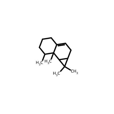 CC1CCCC2=CCC3C(C3(C)C)C21C